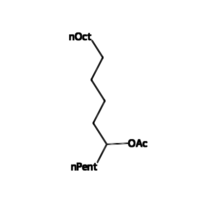 CCCCCCCCCCCCC(CCCCC)OC(C)=O